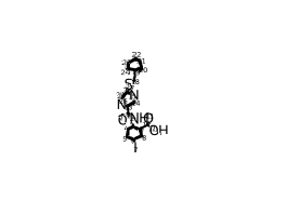 O=C(Nc1ccc(I)cc1C(=O)O)c1cnc(SCc2ccccc2)cn1